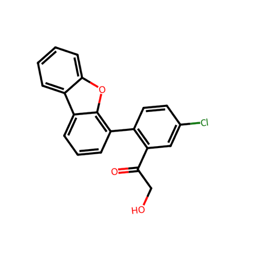 O=C(CO)c1cc(Cl)ccc1-c1cccc2c1oc1ccccc12